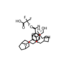 CC(CO)(CO)C(=O)N(CCN1C2CCC1CC(c1cccc(C(N)=O)c1)C2)CC1CCC1.O=C(O)C(F)(F)F